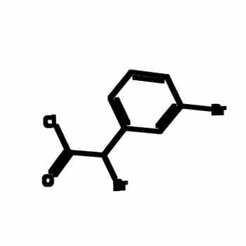 O=C(Cl)C(Br)c1cccc(Br)c1